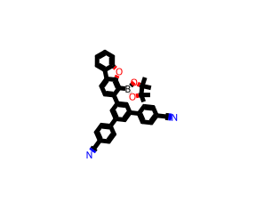 CC1(C)OB(c2c(-c3cc(-c4ccc(C#N)cc4)cc(-c4ccc(C#N)cc4)c3)ccc3c2oc2ccccc23)OC1(C)C